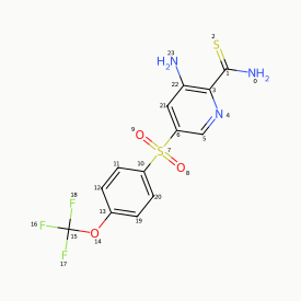 NC(=S)c1ncc(S(=O)(=O)c2ccc(OC(F)(F)F)cc2)cc1N